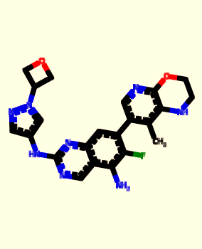 Cc1c(-c2cc3nc(Nc4cnn(C5COC5)c4)ncc3c(N)c2F)cnc2c1NCCO2